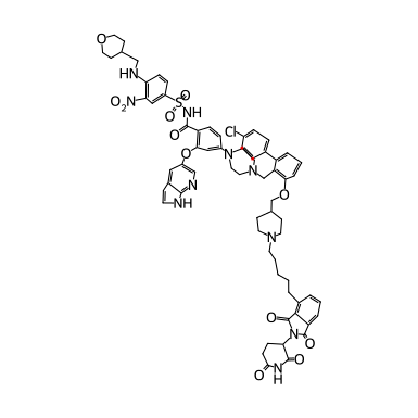 O=C1CCC(N2C(=O)c3cccc(CCCCCN4CCC(COc5cccc(-c6ccc(Cl)cc6)c5CN5CCN(c6ccc(C(=O)NS(=O)(=O)c7ccc(NCC8CCOCC8)c([N+](=O)[O-])c7)c(Oc7cnc8[nH]ccc8c7)c6)CC5)CC4)c3C2=O)C(=O)N1